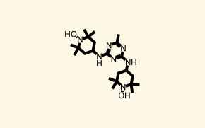 Cc1nc(NC2CC(C)(C)N(O)C(C)(C)C2)nc(NC2CC(C)(C)N(O)C(C)(C)C2)n1